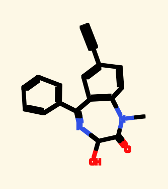 C#Cc1ccc2c(c1)C(c1ccccc1)=NC(O)C(=O)N2C